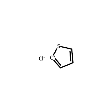 [C+]1=CC=CS1.[Cl-]